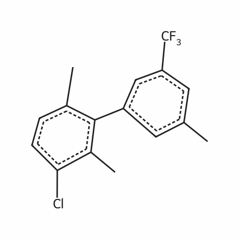 Cc1cc(-c2c(C)ccc(Cl)c2C)cc(C(F)(F)F)c1